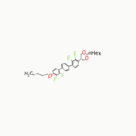 C=CCCCOc1ccc(-c2ccc(-c3ccc(C4COC(CCCCCC)OC4)c(F)c3F)cc2)c(F)c1F